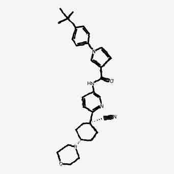 CC(C)(C)c1ccc(-n2ccc(C(=O)Nc3ccc([C@]4(C#N)CC[C@@H](N5CCOCC5)CC4)nc3)c2)cc1